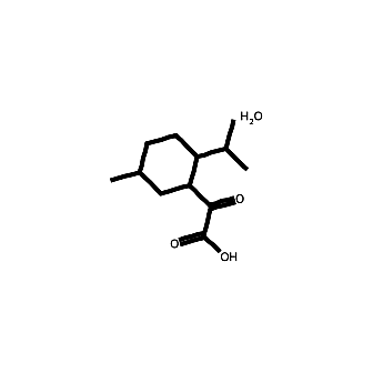 CC1CCC(C(C)C)C(C(=O)C(=O)O)C1.O